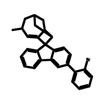 CC1C=C2C3CC(C1)CC3C21c2ccccc2-c2cc(-c3ccccc3Br)ccc21